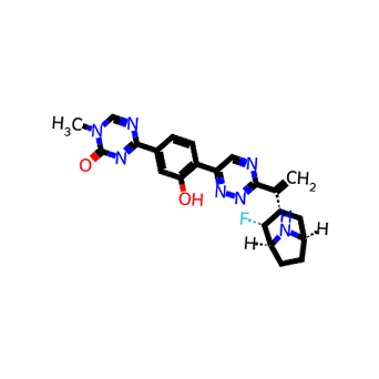 C=C(c1ncc(-c2ccc(-c3ncn(C)c(=O)n3)cc2O)nn1)[C@@H]1C[C@H]2CC[C@H](N2)[C@@H]1F